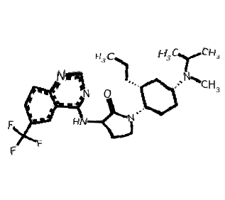 CCC[C@@H]1C[C@H](N(C)C(C)C)CC[C@@H]1N1CCC(Nc2ncnc3ccc(C(F)(F)F)cc23)C1=O